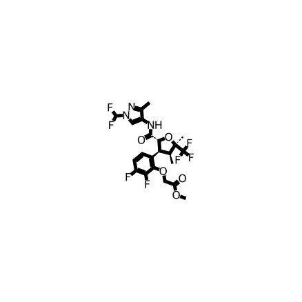 COC(=O)COc1c([C@H]2[C@H](C(=O)Nc3cn(C(F)F)nc3C)O[C@@](C)(C(F)(F)F)[C@H]2C)ccc(F)c1F